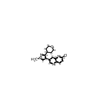 Cn1cc(-c2cnc3ccc(Cl)nc3c2)c(C2CCOCC2)n1